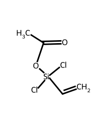 C=C[Si](Cl)(Cl)OC(C)=O